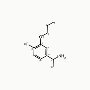 CCCOc1cc(C(C)N)ccc1F